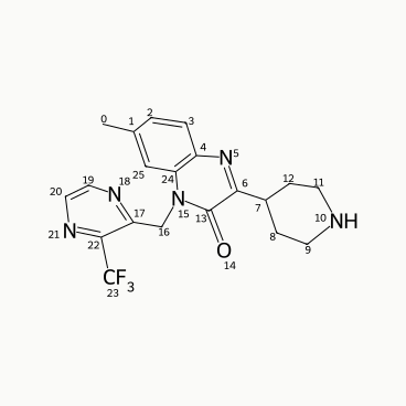 Cc1ccc2nc(C3CCNCC3)c(=O)n(Cc3nccnc3C(F)(F)F)c2c1